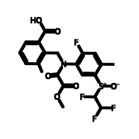 COC(=O)C(=O)N(Cc1c(C)cccc1C(=O)O)c1cc([S+]([O-])C(F)C(F)F)c(C)cc1F